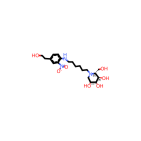 O=[N+]([O-])c1cc(CCO)ccc1NCCCCCCN1C[C@H](O)[C@@H](O)[C@H](O)[C@H]1CO